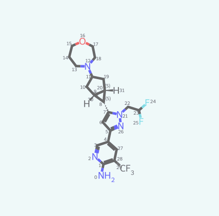 Nc1ncc(-c2cc([C@@H]3[C@@H]4CC(N5CCCOCC5)C[C@@H]43)n(CC(F)F)n2)cc1C(F)(F)F